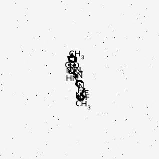 Cc1ccc(S(=O)(=O)n2ncc3c(NC4CCN(CC(F)(F)c5ncc(C)cc5F)CC4)ncnc32)cc1